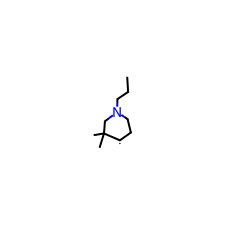 CCCN1CC[CH]C(C)(C)C1